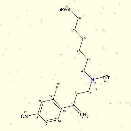 C=C(CCN(CCC)CCCCCCC(C)CCC)c1ccc(N=O)cc1F